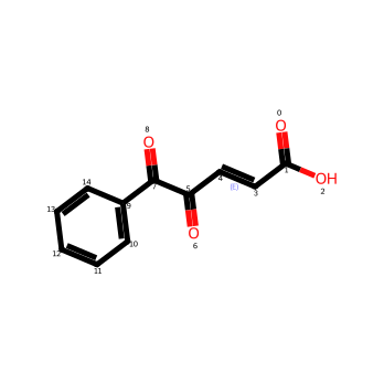 O=C(O)/C=C/C(=O)C(=O)c1ccccc1